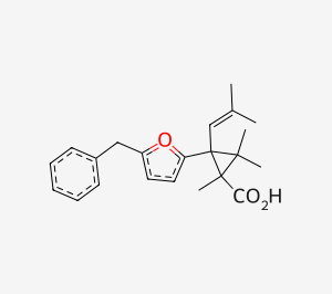 CC(C)=CC1(c2ccc(Cc3ccccc3)o2)C(C)(C)C1(C)C(=O)O